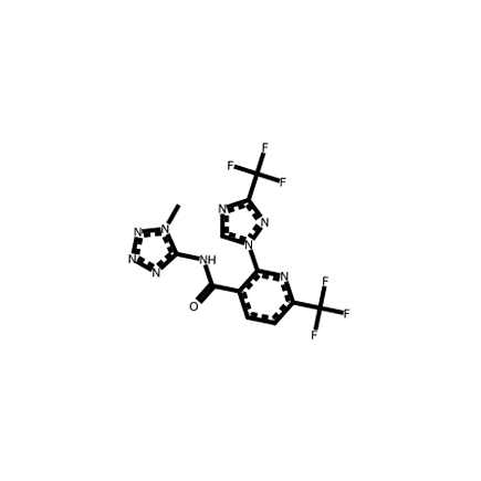 Cn1nnnc1NC(=O)c1ccc(C(F)(F)F)nc1-n1cnc(C(F)(F)F)n1